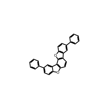 c1ccc(-c2ccc3oc4c(ccc5oc6ccc(-c7ccccc7)cc6c54)c3c2)cc1